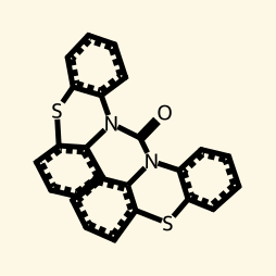 O=C(N1c2ccccc2Sc2ccccc21)N1c2ccccc2Sc2ccccc21